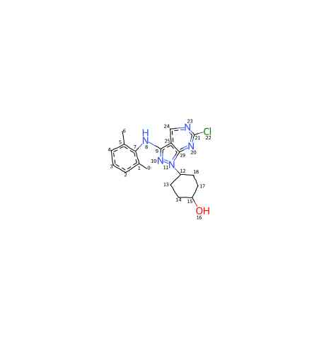 Cc1cccc(C)c1Nc1nn(C2CCC(O)CC2)c2nc(Cl)ncc12